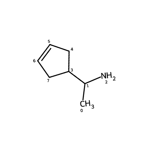 CC(N)C1CC=CC1